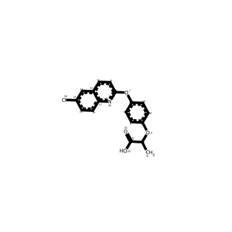 CC(Oc1ccc(Oc2ccc3cc(Cl)ccc3n2)cc1)C(=O)O